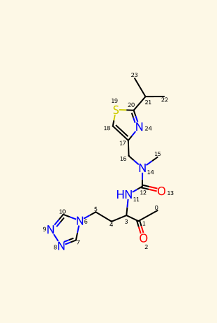 CC(=O)C(CCn1cnnc1)NC(=O)N(C)Cc1csc(C(C)C)n1